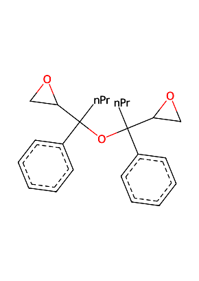 CCCC(OC(CCC)(c1ccccc1)C1CO1)(c1ccccc1)C1CO1